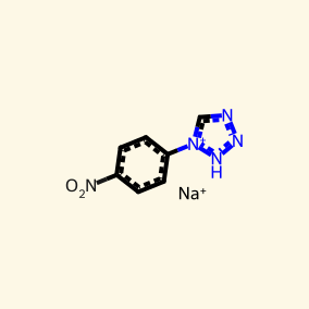 O=[N+]([O-])c1ccc(-[n+]2cnn[nH]2)cc1.[Na+]